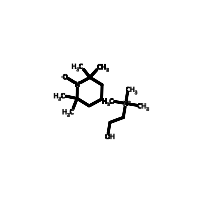 CC1(C)CCCC(C)(C)N1[O].C[N+](C)(C)CCO